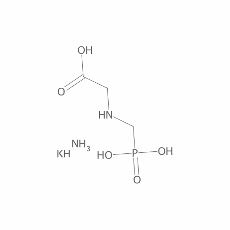 N.O=C(O)CNCP(=O)(O)O.[KH]